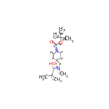 CC(C)CN(C)CC1(O)CCN(C(=O)OC(C)(C)C)CC1